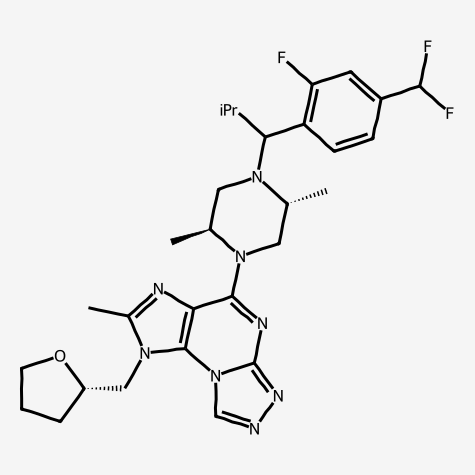 Cc1nc2c(N3C[C@@H](C)N(C(c4ccc(C(F)F)cc4F)C(C)C)C[C@@H]3C)nc3nncn3c2n1C[C@@H]1CCCO1